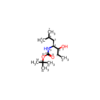 CCC(O)[C@H](CC(C)C)NC(=O)OC(C)(C)C